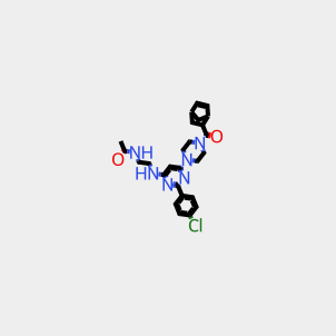 CC(=O)NCCNc1cc(N2CCN(C(=O)C3CC4C=CC3C4)CC2)nc(-c2ccc(Cl)cc2)n1